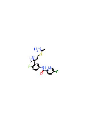 C=C(N)SCC[C@](C)(N)c1cc(NC(=O)c2ccc(Cl)cn2)ccc1F